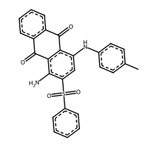 Cc1ccc(Nc2cc(S(=O)(=O)c3ccccc3)c(N)c3c2C(=O)c2ccccc2C3=O)cc1